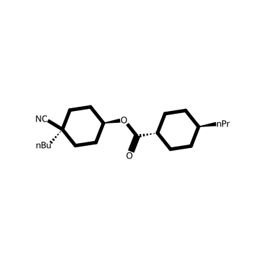 CCCC[C@]1(C#N)CC[C@@H](OC(=O)[C@H]2CC[C@H](CCC)CC2)CC1